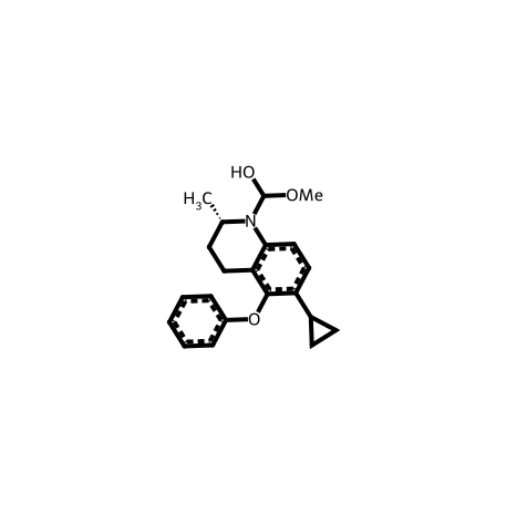 COC(O)N1c2ccc(C3CC3)c(Oc3ccccc3)c2CC[C@@H]1C